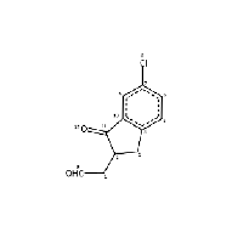 O=CCC1Cc2ccc(Cl)cc2C1=O